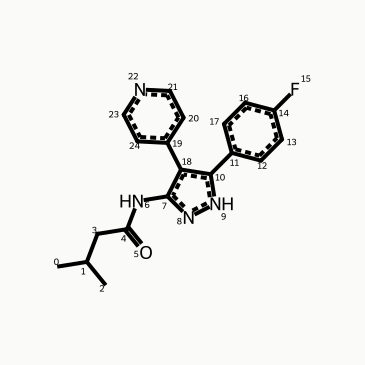 CC(C)CC(=O)Nc1n[nH]c(-c2ccc(F)cc2)c1-c1ccncc1